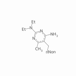 CCCCCCCCCCc1c(C)nc(N(CC)CC)nc1N